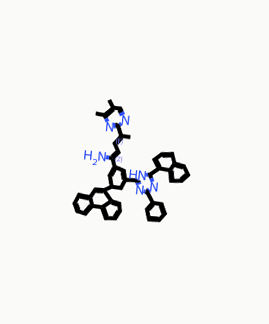 C/C(=C\C=C(/N)C1=CC(c2cc3ccccc3c3ccccc23)CC(C2=NC(c3ccccc3)=NC(c3cccc4ccccc34)N2)=C1)c1ncc(C)c(C)n1